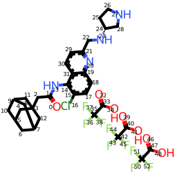 O=C(CC12CC3CC(CC(C3)C1)C2)Nc1c(Cl)ccc2nc(CN[C@@H]3CCNC3)ccc12.O=C(O)C(F)(F)F.O=C(O)C(F)(F)F.O=C(O)C(F)(F)F